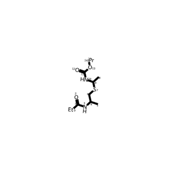 CCC(=O)NC(C)CSC(C)NC(=O)OC(C)C